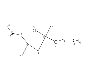 C.COC(C)(Cl)CC(C)CSC